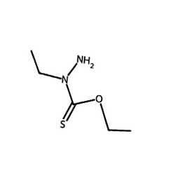 CCOC(=S)N(N)CC